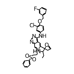 CCC(NCCS(=O)(=O)c1ccccc1)C1(c2cc3c(Nc4ccc(OCc5cccc(F)c5)c(Cl)c4)ncnc3cn2)CC=CO1